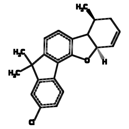 C[C@H]1CC=C[C@H]2Oc3c(ccc4c3-c3ccc(Cl)cc3C4(C)C)C12